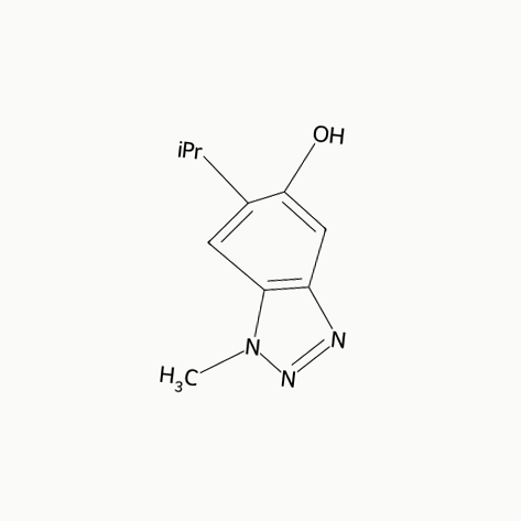 CC(C)c1cc2c(cc1O)nnn2C